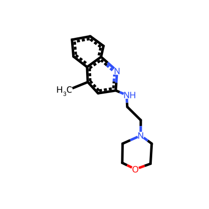 Cc1cc(NCCN2CCOCC2)nc2ccccc12